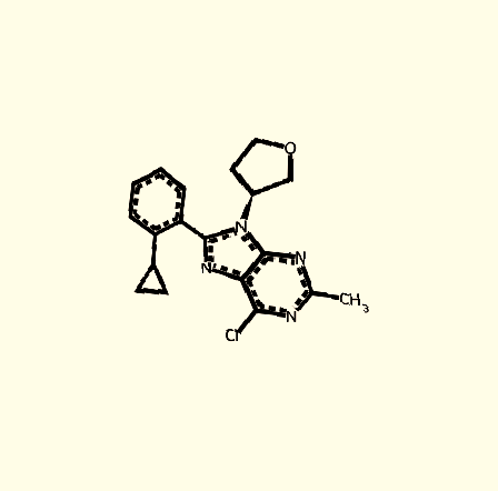 Cc1nc(Cl)c2nc(-c3ccccc3C3CC3)n([C@H]3CCOC3)c2n1